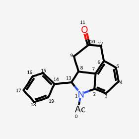 CC(=O)N1c2cccc3c2C(CC(=O)C3)C1c1ccccc1